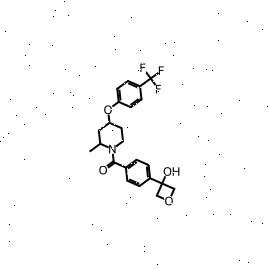 CC1CC(Oc2ccc(C(F)(F)F)cc2)CCN1C(=O)c1ccc(C2(O)COC2)cc1